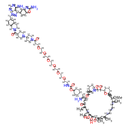 CO[C@H]1C[C@@H]2CCCC(O2)C(=O)C(=O)N2CCCC[C@H]2CO[C@H]([C@H](N)C[C@H]2CC[C@H](OC(=O)NCCOCCOCCOCCOCCOCCOCCC(=O)N3CCC(N4CCC(C(=O)N5CCc6cc(Cn7nc(-c8ccc9oc(N)nc9c8)c8c(N)ncnc87)ccc6C5)CC4)CC3)CC2)CC(=O)[C@H](C)/C=C(\C)[C@@H](O)[C@@H](O)C(=O)[C@H](C)C[C@H](C)/C=C/C=C/C=C/1C